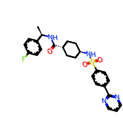 C[C@@H](NC(=O)[C@H]1CC[C@H](NS(=O)(=O)c2ccc(-c3ncccn3)cc2)CC1)c1ccc(F)cc1